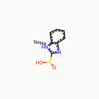 O=S(O)c1nc2ccccc2[nH]1.[Na].[Na]